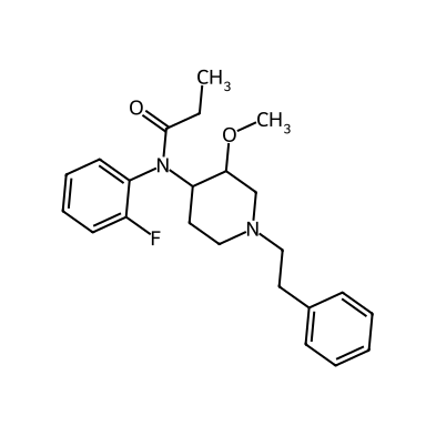 CCC(=O)N(c1ccccc1F)C1CCN(CCc2ccccc2)CC1OC